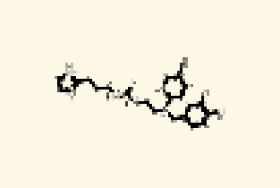 S=C(NCCCc1ncc[nH]1)NCCN(Cc1ccc(Cl)c(Cl)c1)c1ccc(Br)cn1